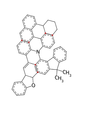 CC1(C)c2ccccc2-c2c(N(c3ccccc3C3=CC4c5ccccc5OC4C=C3)c3ccccc3-c3cccc4cccc(C5CCCCC5)c34)cccc21